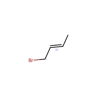 C/C=C/[CH]Br